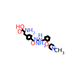 CN1CCC(Oc2ccccc2CN/C(N)=N/C(=O)c2ccc(C[C@H](N)C(=O)O)cc2)CC1